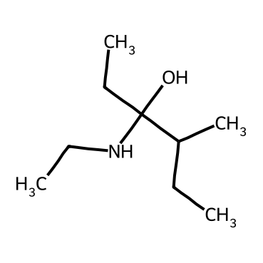 CCNC(O)(CC)C(C)CC